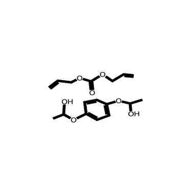 C=CCOC(=O)OCC=C.CC(O)Oc1ccc(OC(C)O)cc1